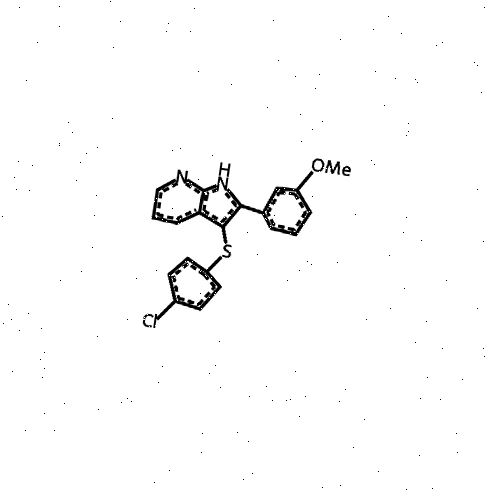 COc1cccc(-c2[nH]c3ncccc3c2Sc2ccc(Cl)cc2)c1